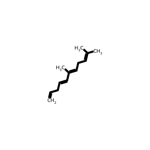 C=CC/C=C/C(C)=C/CC=C(C)C